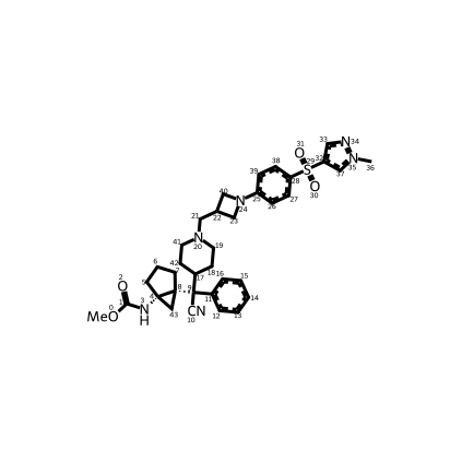 COC(=O)N[C@]12CCC[C@@]1(C(C#N)(c1ccccc1)C1CCN(CC3CN(c4ccc(S(=O)(=O)c5cnn(C)c5)cc4)C3)CC1)C2